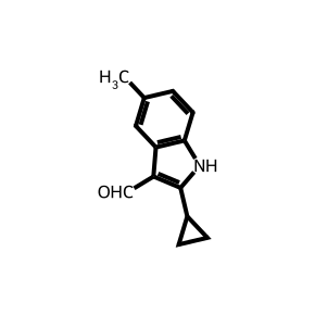 Cc1ccc2[nH]c(C3CC3)c(C=O)c2c1